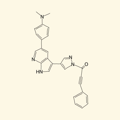 CN(C)c1ccc(-c2cnc3[nH]cc(-c4cnn(C(=O)C#Cc5ccccc5)c4)c3c2)cc1